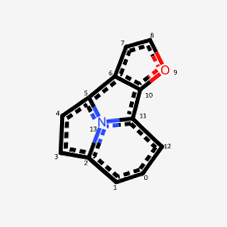 c1cc2ccc3c4ccoc4c(c1)n23